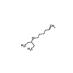 C=CCCCCOC(CC)CC